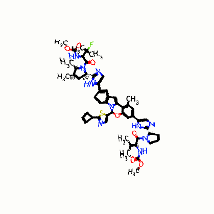 COC(=O)NC(C(=O)N1[C@H](C)[C@H](C)C[C@H]1c1ncc(-c2ccc3c(c2)cc2n3C(c3cnc(C4CCC4)s3)Oc3cc(-c4cnc([C@@H]5CCCN5C(=O)[C@@H](NC(=O)OC)C(C)C)[nH]4)cc(C)c3-2)[nH]1)C(C)(C)F